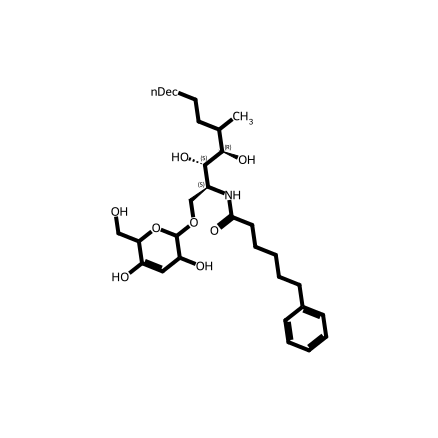 CCCCCCCCCCCCC(C)[C@@H](O)[C@@H](O)[C@H](COC1OC(CO)C(O)=CC1O)NC(=O)CCCCCc1ccccc1